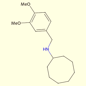 COc1ccc(CNC2CCCCCCC2)cc1OC